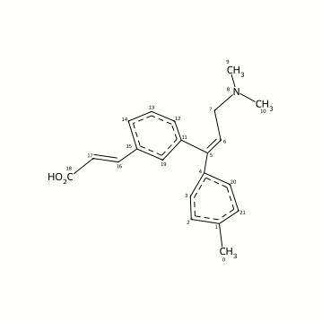 Cc1ccc(C(=CCN(C)C)c2cccc(C=CC(=O)O)c2)cc1